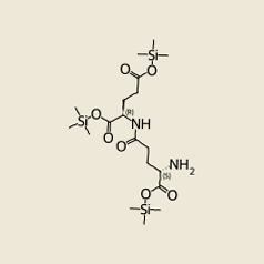 C[Si](C)(C)OC(=O)CC[C@@H](NC(=O)CC[C@H](N)C(=O)O[Si](C)(C)C)C(=O)O[Si](C)(C)C